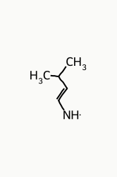 CC(C)C=C[NH]